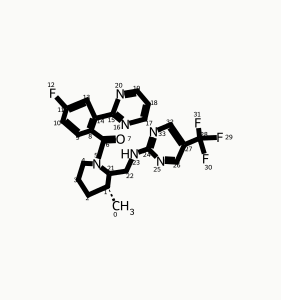 C[C@@H]1CCCN(C(=O)c2ccc(F)cc2-c2ncccn2)C1CNc1ncc(C(F)(F)F)cn1